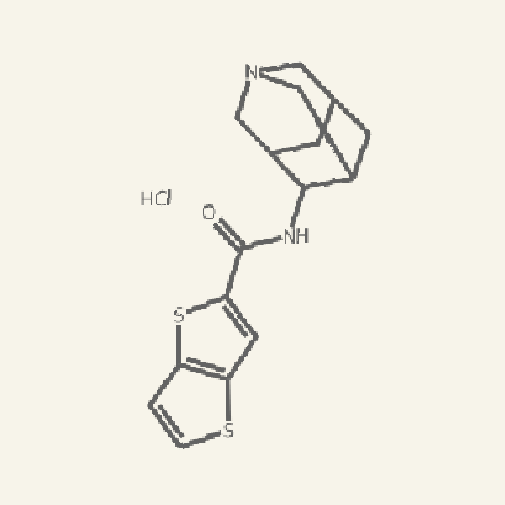 Cl.O=C(NC1C2CC3CC1CN(C3)C2)c1cc2sccc2s1